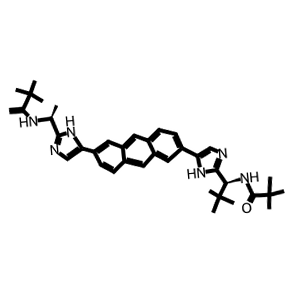 C=C(N[C@@H](C)c1ncc(-c2ccc3cc4cc(-c5cnc([C@@H](NC(=O)C(C)(C)C)C(C)(C)C)[nH]5)ccc4cc3c2)[nH]1)C(C)(C)C